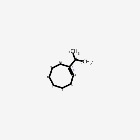 [CH2]C(C)/C1=C/CCCCCC1